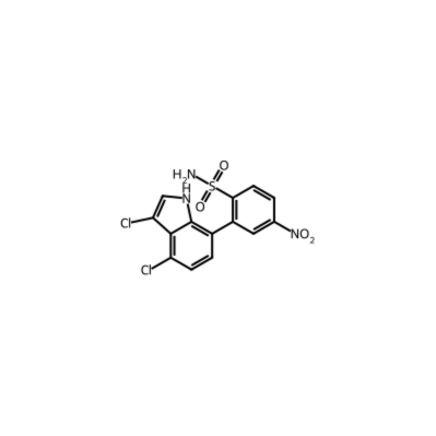 NS(=O)(=O)c1ccc([N+](=O)[O-])cc1-c1ccc(Cl)c2c(Cl)c[nH]c12